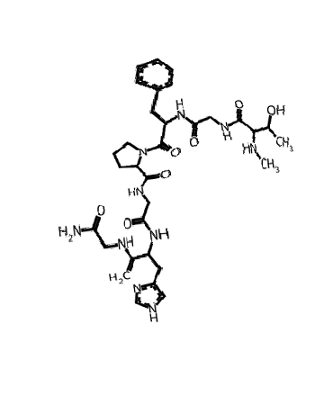 C=C(NCC(N)=O)C(Cc1c[nH]cn1)NC(=O)CNC(=O)C1CCCN1C(=O)C(Cc1ccccc1)NC(=O)CNC(=O)C(NC)C(C)O